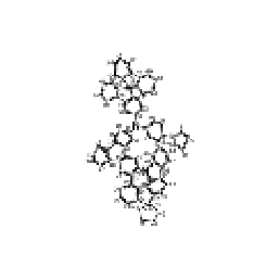 c1ccc(-c2ccc(N(c3ccc(-c4ccccc4-c4ccc5c(c4)-c4cccc6c4-c4c(ccc7c8ccccc8n-5c47)C64CCCCC4)cc3)c3ccc4c(c3)-c3ccccc3C43c4ccccc4-c4ccccc43)cc2)cc1